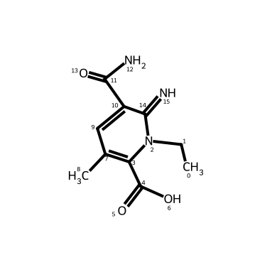 CCn1c(C(=O)O)c(C)cc(C(N)=O)c1=N